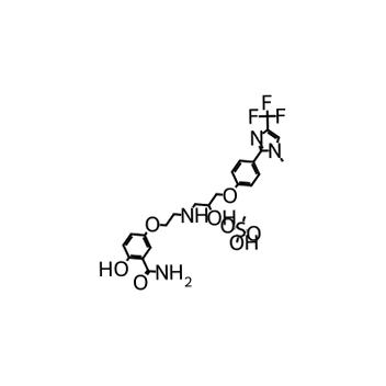 CS(=O)(=O)O.Cn1cc(C(F)(F)F)nc1-c1ccc(OCC(O)CNCCOc2ccc(O)c(C(N)=O)c2)cc1